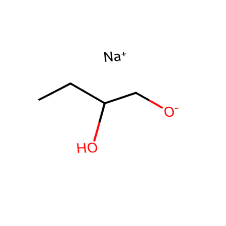 CCC(O)C[O-].[Na+]